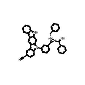 N#Cc1ccc2c(c1)c1cc3c(cc1n2-c1cccc(C2N(C(=N)c4ccccc4)[N@@]2Cc2ccccc2)c1)[nH]c1ccccc13